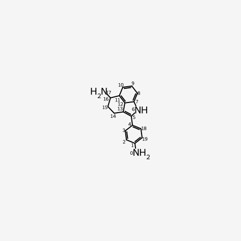 Nc1ccc(-c2[nH]c3cccc4c3c2CCC4N)cc1